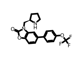 O=c1oc2ccc(-c3ccc(OC(F)(F)F)cc3)cc2n1C[C@H]1CCCN1